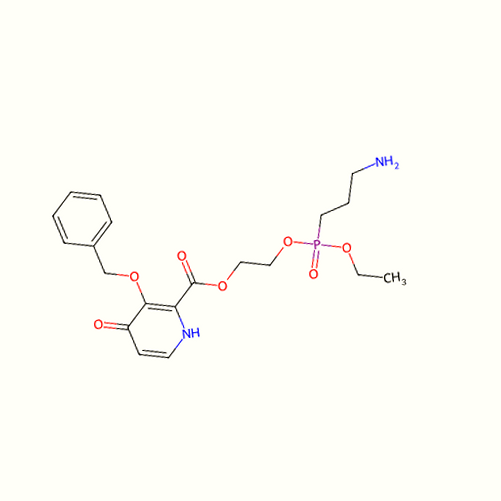 CCOP(=O)(CCCN)OCCOC(=O)c1[nH]ccc(=O)c1OCc1ccccc1